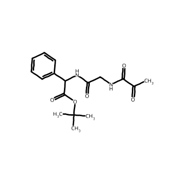 CC(=O)C(=O)NCC(=O)NC(C(=O)OC(C)(C)C)c1ccccc1